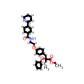 CCOC(=O)C(C)(Cc1ccc(OCCNC(=O)c2ccc(-c3ccccn3)cc2)cc1)Oc1ccccc1